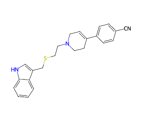 N#Cc1ccc(C2=CCN(CCSCc3c[nH]c4ccccc34)CC2)cc1